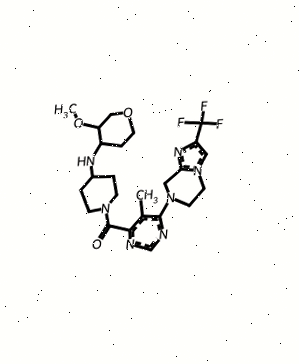 COC1COCCC1NC1CCN(C(=O)c2ncnc(N3CCn4cc(C(F)(F)F)nc4C3)c2C)CC1